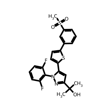 CC(C)(O)c1cc(-c2ccc(-c3cccc(S(C)(=O)=O)c3)s2)n(-c2c(F)cccc2F)n1